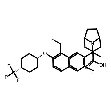 CC(c1cc2c(CF)c(O[C@H]3CC[C@@H](C(F)(F)F)CC3)ccc2cc1F)N1C2CCC1CC(C(=O)O)C2